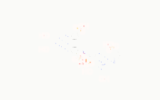 O=S(=O)(O)c1cccc(Nc2nc(Nc3ccc(/C=C/c4ccc(Nc5nc(Nc6cccc(S(=O)(=O)O)c6)nc(N(CCO)CCO)n5)cc4S(=O)(=O)O)c(S(=O)(=O)O)c3)nc(N(CCO)CCO)n2)c1